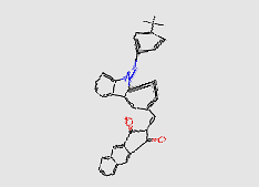 CC(C)(C)c1ccc(-n2c3ccccc3c3cc(C=C4C(=O)c5cc6ccccc6cc5C4=O)ccc32)cc1